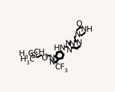 C[Si](C)(C)CCOCn1nc(C(F)(F)F)c2ccc(Nc3nc4ccnc(CN5CCNC(=O)C5)n4n3)cc21